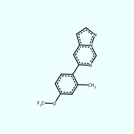 Cc1cc(OC(F)(F)F)ccc1-c1cc2ccnn2cn1